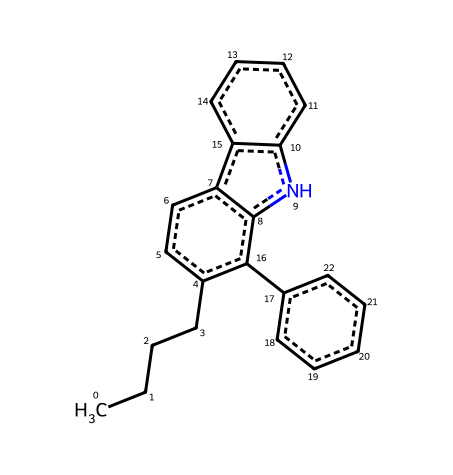 CCCCc1ccc2c([nH]c3ccccc32)c1-c1ccccc1